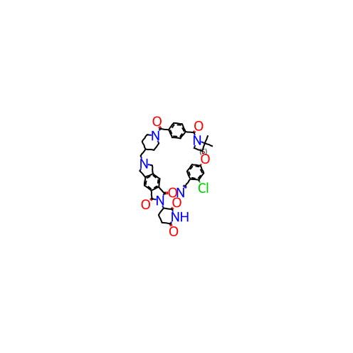 CC1(C)[C@@H](Oc2ccc(C#N)c(Cl)c2)CN1C(=O)c1ccc(C(=O)N2CCC(CN3Cc4cc5c(cc4C3)C(=O)N(C3CCC(=O)NC3=O)C5=O)CC2)cc1